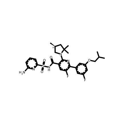 CC(C)COc1cc(F)cc(-c2nc(N3C[C@@H](C)CC3(C)C)c(C(=O)NS(=O)(=O)c3cccc(N)n3)cc2F)c1